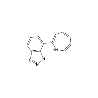 C1=CC=C(c2cccc3c2[N]N=N3)NC=C1